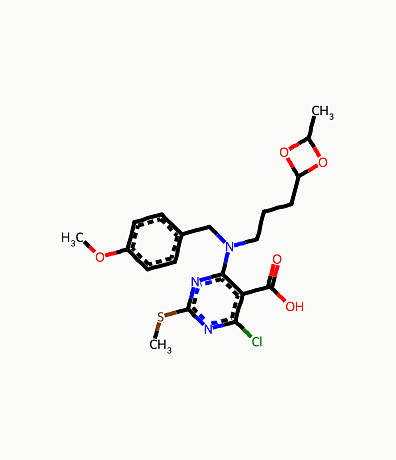 COc1ccc(CN(CCCC2OC(C)O2)c2nc(SC)nc(Cl)c2C(=O)O)cc1